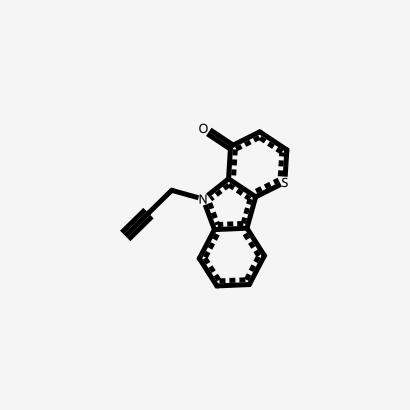 C#CCn1c2ccccc2c2sccc(=O)c21